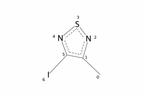 Cc1nsnc1I